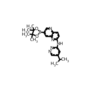 CC(C)c1cnnc(Nc2ccc3ncc(B4OC(C)(C)C(C)(C)O4)cc3n2)c1